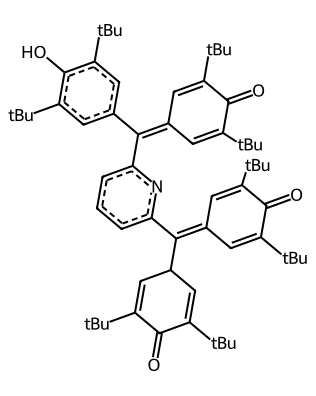 CC(C)(C)C1=CC(=C(c2cc(C(C)(C)C)c(O)c(C(C)(C)C)c2)c2cccc(C(=C3C=C(C(C)(C)C)C(=O)C(C(C)(C)C)=C3)C3C=C(C(C)(C)C)C(=O)C(C(C)(C)C)=C3)n2)C=C(C(C)(C)C)C1=O